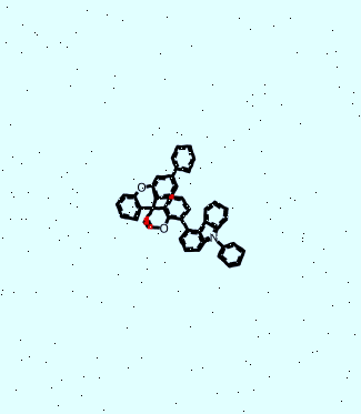 c1ccc(-c2ccc3c(c2)Oc2ccccc2C32c3ccccc3Oc3c(-c4cccc5c4c4ccccc4n5-c4ccccc4)cccc32)cc1